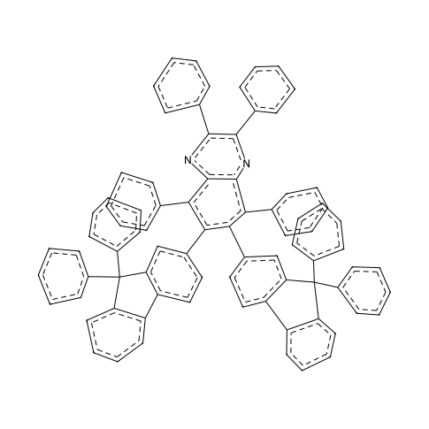 c1ccc(-c2nc3c(-c4ccccc4)c(-c4ccc5c(c4)C(c4ccccc4)(c4ccccc4)c4ccccc4-5)c(-c4ccc5c(c4)C(c4ccccc4)(c4ccccc4)c4ccccc4-5)c(-c4ccccc4)c3nc2-c2ccccc2)cc1